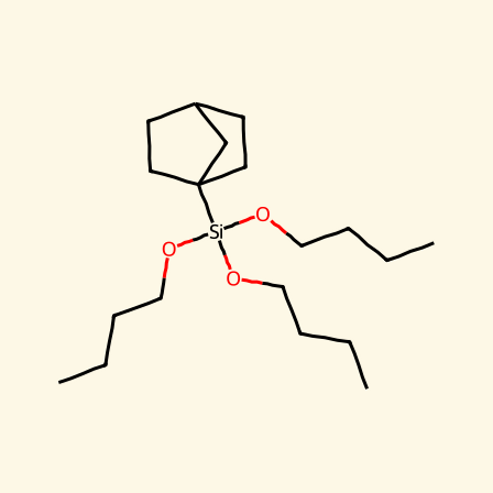 CCCCO[Si](OCCCC)(OCCCC)C12CCC(CC1)C2